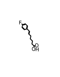 O=C(O)CCCC/C=C/c1ccc(F)cc1